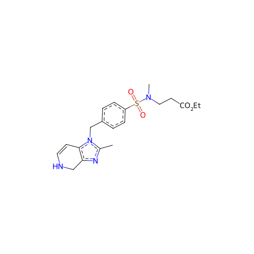 CCOC(=O)CCN(C)S(=O)(=O)c1ccc(Cn2c(C)nc3c2C=CNC3)cc1